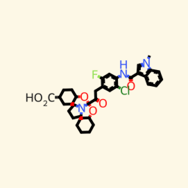 Cn1cc(C(=O)Nc2cc(F)c(CC(=O)C(OC3CCCCC3)(OC3CCC(C(=O)O)CC3)N3CCCC3)cc2Cl)c2ccccc21